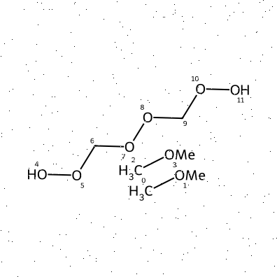 COC.COC.OOCOOCOO